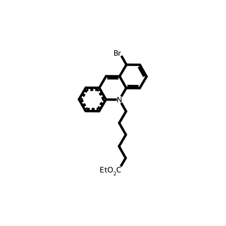 CCOC(=O)CCCCCN1C2=CC=CC(Br)C2=Cc2ccccc21